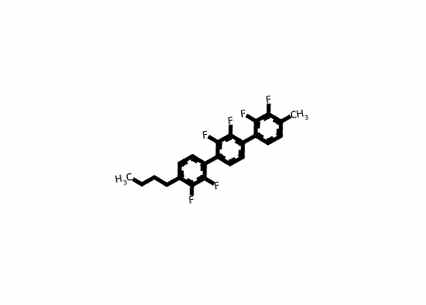 CCCCc1ccc(-c2ccc(-c3ccc(C)c(F)c3F)c(F)c2F)c(F)c1F